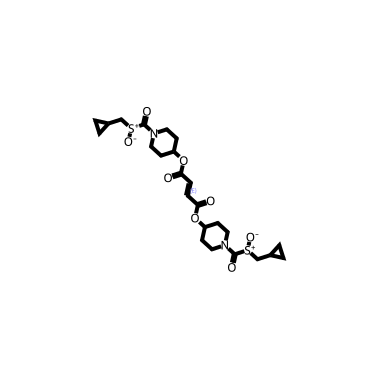 O=C(/C=C/C(=O)OC1CCN(C(=O)[S+]([O-])CC2CC2)CC1)OC1CCN(C(=O)[S+]([O-])CC2CC2)CC1